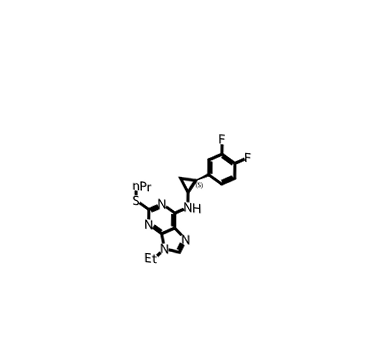 CCCSc1nc(NC2C[C@H]2c2ccc(F)c(F)c2)c2ncn(CC)c2n1